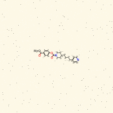 COC(=O)c1ccc(OC(=O)N2CCC(CCCCc3ccncc3)CC2)cc1